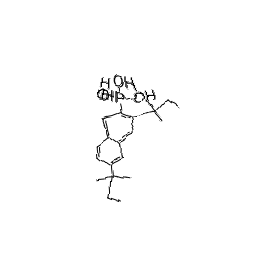 CCC(C)(C)c1ccc2cc([PH](O)(O)O)c(C(C)(C)CC)cc2c1